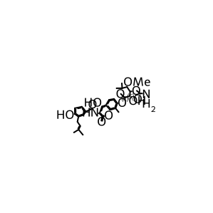 COC1C(OC(N)=O)[C@H](O)[C@H](Oc2ccc3c(O)c(NC(=O)c4ccc(O)c(CC=C(C)C)c4)c(=O)oc3c2C)OC1(C)C